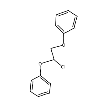 ClC(COc1[c]cccc1)Oc1[c]cccc1